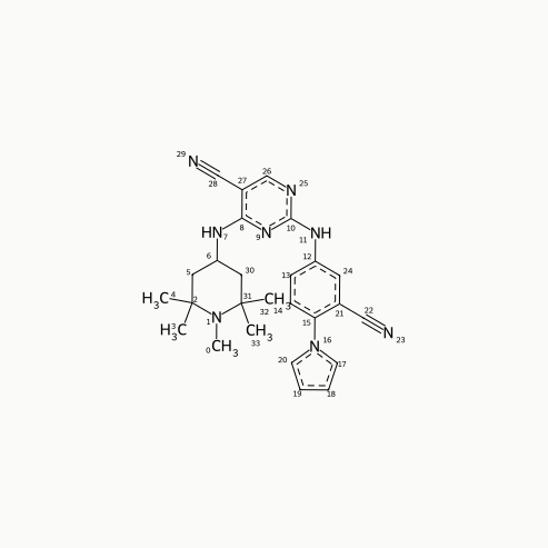 CN1C(C)(C)CC(Nc2nc(Nc3ccc(-n4cccc4)c(C#N)c3)ncc2C#N)CC1(C)C